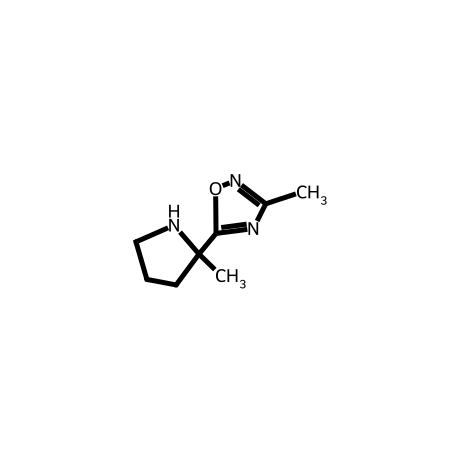 Cc1noc(C2(C)CCCN2)n1